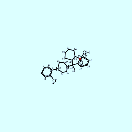 COc1ccccc1N1CCN(C(C)(c2ccccc2)C2CCCCC2C(=O)O)CC1